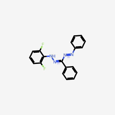 Fc1cccc(F)c1N/N=C(\N=N\c1ccccc1)c1ccccc1